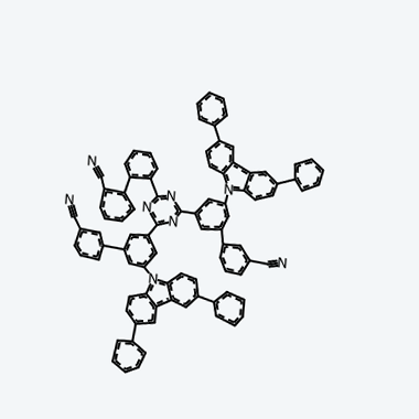 N#Cc1cccc(-c2cc(-c3nc(-c4cc(-c5cccc(C#N)c5)cc(-n5c6ccc(-c7ccccc7)cc6c6cc(-c7ccccc7)ccc65)c4)nc(-c4ccccc4-c4ccccc4C#N)n3)cc(-n3c4ccc(-c5ccccc5)cc4c4cc(-c5ccccc5)ccc43)c2)c1